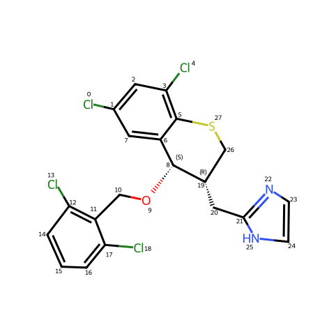 Clc1cc(Cl)c2c(c1)[C@@H](OCc1c(Cl)cccc1Cl)[C@@H](Cc1ncc[nH]1)CS2